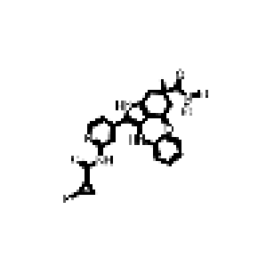 CCN(CC)C(=O)C1(C)CC(=O)c2c([nH]c(-c3ccnc(NC(=O)C4CC4F)c3)c2Nc2ccccc2)C1